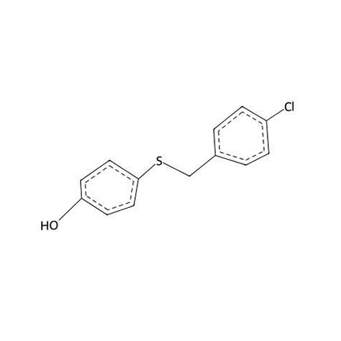 Oc1ccc(SCc2ccc(Cl)cc2)cc1